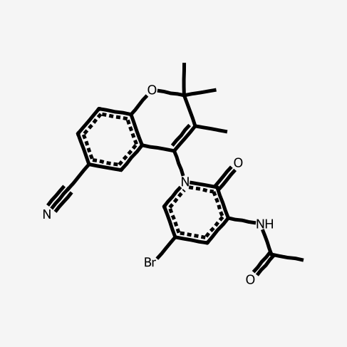 CC(=O)Nc1cc(Br)cn(C2=C(C)C(C)(C)Oc3ccc(C#N)cc32)c1=O